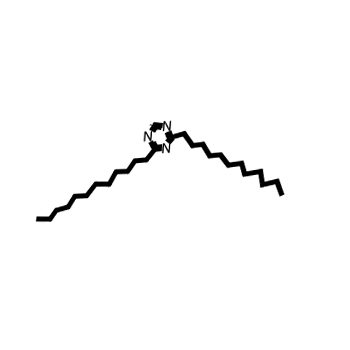 CCCCCCCCCCCCc1n[c]nc(CCCCCCCCCCCC)n1